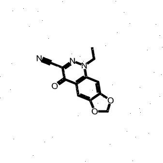 CCn1nc(C#N)c(=O)c2cc3c(cc21)OCO3